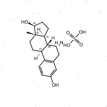 C[C@]12CC[C@@H]3c4ccc(O)cc4CC[C@H]3[C@@H]1CC[C@@H]2O.N.O=S(=O)(O)O